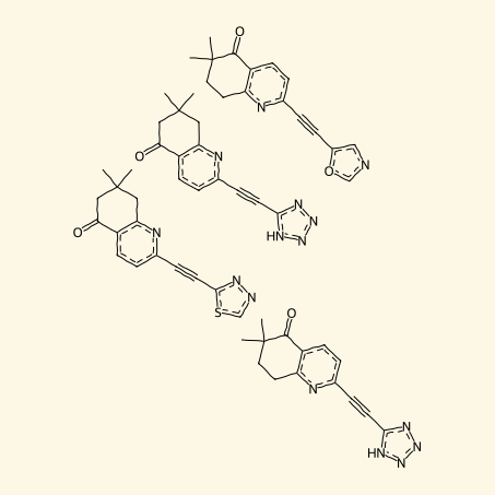 CC1(C)CC(=O)c2ccc(C#Cc3nncs3)nc2C1.CC1(C)CC(=O)c2ccc(C#Cc3nnn[nH]3)nc2C1.CC1(C)CCc2nc(C#Cc3cnco3)ccc2C1=O.CC1(C)CCc2nc(C#Cc3nnn[nH]3)ccc2C1=O